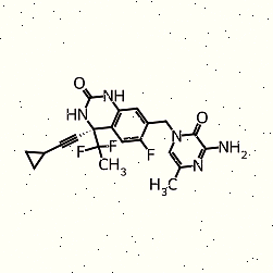 Cc1cn(Cc2cc3c(cc2F)[C@@](C#CC2CC2)(C(C)(F)F)NC(=O)N3)c(=O)c(N)n1